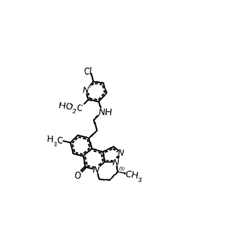 Cc1cc(CCNc2ccc(Cl)nc2C(=O)O)c2c(c1)c(=O)n1c3c2cnn3[C@@H](C)CC1